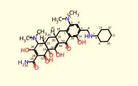 CN(C)c1cc(CNC2CCCCC2)c(O)c2c1C[C@H]1C[C@H]3C(N(C)C)C(O)=C(C(N)=O)C(=O)[C@@]3(O)C(O)=C1C2=O